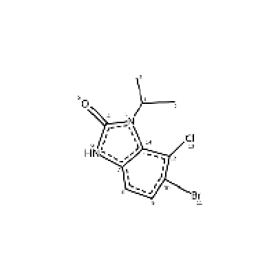 CC(C)n1c(=O)[nH]c2ccc(Br)c(Cl)c21